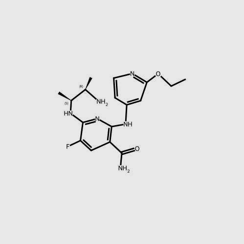 CCOc1cc(Nc2nc(N[C@@H](C)[C@@H](C)N)c(F)cc2C(N)=O)ccn1